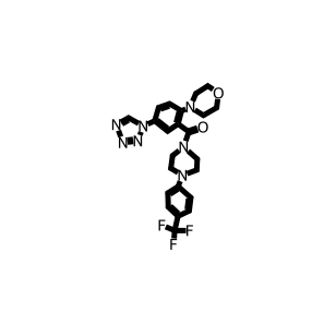 O=C(c1cc(-n2cnnn2)ccc1N1CCOCC1)N1CCN(c2ccc(C(F)(F)F)cc2)CC1